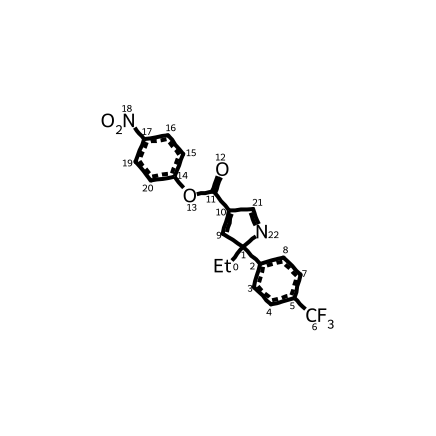 CCC1(c2ccc(C(F)(F)F)cc2)C=C(C(=O)Oc2ccc([N+](=O)[O-])cc2)C=N1